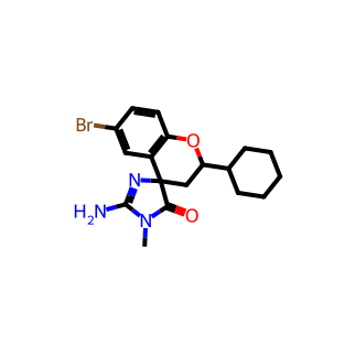 CN1C(=O)C2(CC(C3CCCCC3)Oc3ccc(Br)cc32)N=C1N